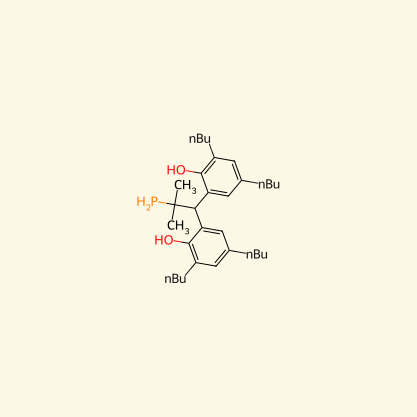 CCCCc1cc(CCCC)c(O)c(C(c2cc(CCCC)cc(CCCC)c2O)C(C)(C)P)c1